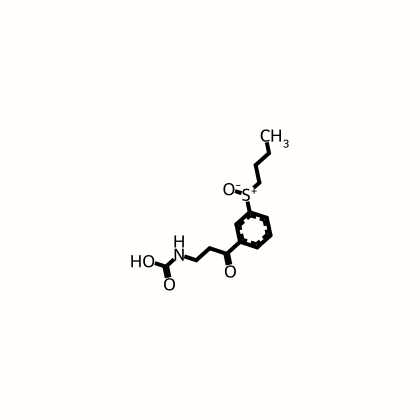 CCCC[S+]([O-])c1cccc(C(=O)CCNC(=O)O)c1